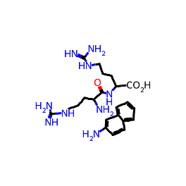 N=C(N)NCCCC(N)C(=O)NC(CCCNC(=N)N)C(=O)O.Nc1ccc2ccccc2c1